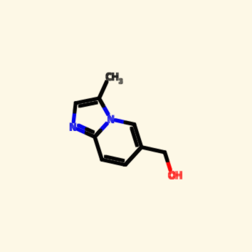 Cc1cnc2ccc(CO)cn12